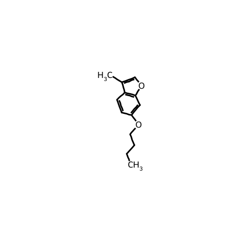 CCCCOc1ccc2c(C)coc2c1